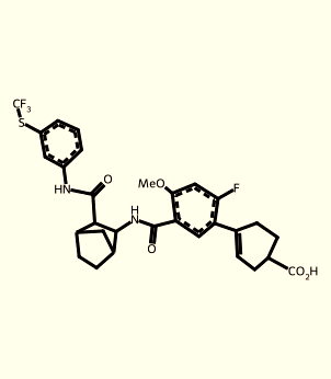 COc1cc(F)c(C2=CCC(C(=O)O)CC2)cc1C(=O)NC1C2CCC(C2)C1C(=O)Nc1cccc(SC(F)(F)F)c1